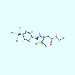 CCOC(=O)Cc1nc(-c2ccc(C(F)(F)F)cc2)sc1C